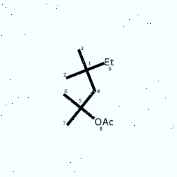 CCC(C)(C)CC(C)(C)OC(C)=O